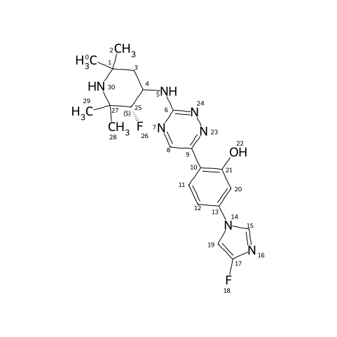 CC1(C)CC(Nc2ncc(-c3ccc(-n4cnc(F)c4)cc3O)nn2)[C@H](F)C(C)(C)N1